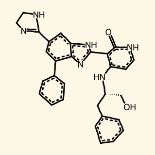 O=c1[nH]ccc(N[C@H](CO)Cc2ccccc2)c1-c1nc2c(-c3ccccc3)cc(C3=NCCN3)cc2[nH]1